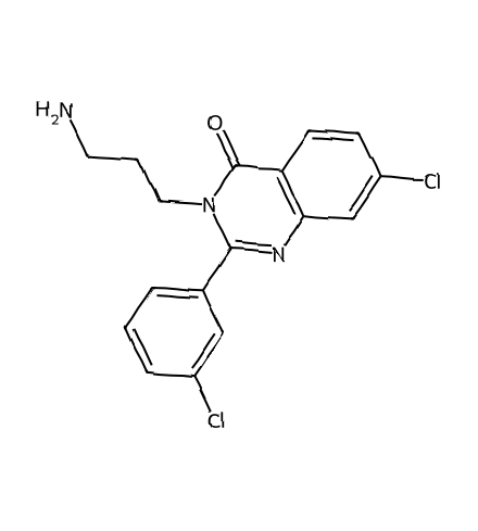 NCCCn1c(-c2cccc(Cl)c2)nc2cc(Cl)ccc2c1=O